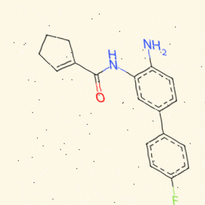 Nc1ccc(-c2ccc(F)cc2)cc1NC(=O)C1=CCCC1